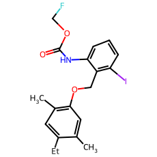 CCc1cc(C)c(OCc2c(I)cccc2NC(=O)OCF)cc1C